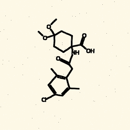 COC1(OC)CCC(NC(=O)Cc2c(C)cc(Cl)cc2C)(C(=O)O)CC1